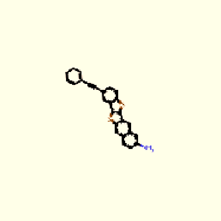 Nc1ccc2cc3sc4c5cc(C#CC6=CCCC=C6)ccc5sc4c3cc2c1